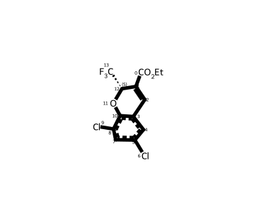 CCOC(=O)C1=Cc2cc(Cl)cc(Cl)c2O[C@@H]1C(F)(F)F